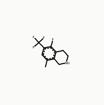 Cc1cc(C(F)(F)F)c(F)c2c1CNCC2